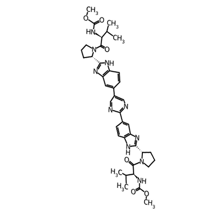 COC(=O)N[C@H](C(=O)N1CCC[C@H]1c1nc2cc(-c3cnc(-c4ccc5[nH]c([C@@H]6CCCN6C(=O)[C@@H](NC(=O)OC)C(C)C)nc5c4)nc3)ccc2[nH]1)C(C)C